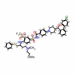 COCCN(C)CCC(CSc1ccccc1)Nc1ccc(S(=O)(=O)NC(=O)c2ccc(N3CCC(C(O)c4ccccc4-c4ccc(Cl)cc4)CC3)cc2)cc1S(=O)(=O)C(F)(F)F